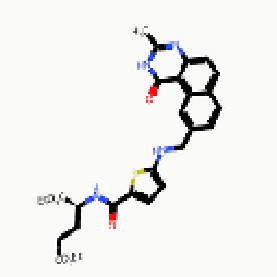 CCOC(=O)CC[C@H](NC(=O)c1ccc(NCc2ccc3ccc4nc(C)[nH]c(=O)c4c3c2)s1)C(=O)OCC